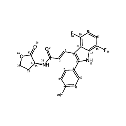 O=C(C=Cc1c(-c2ccc(F)cc2)[nH]c2c(F)ccc(F)c12)N[C@H]1CCOC1=O